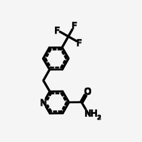 NC(=O)c1ccnc(Cc2ccc(C(F)(F)F)cc2)c1